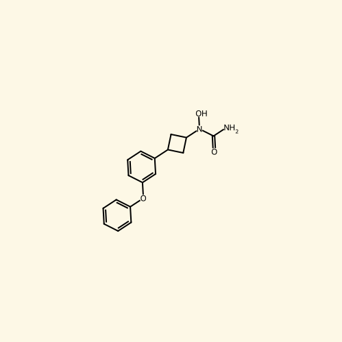 NC(=O)N(O)C1CC(c2cccc(Oc3ccccc3)c2)C1